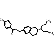 CCCN(CCC)[C@@H]1CCc2cc(CNC(=O)c3ccc(Cl)cc3)ccc2C1